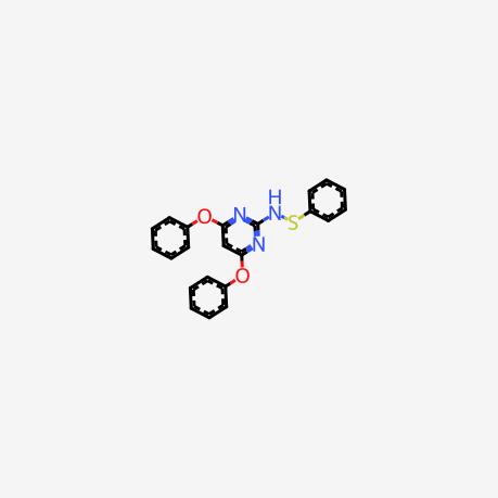 c1ccc(Oc2cc(Oc3ccccc3)nc(NSc3ccccc3)n2)cc1